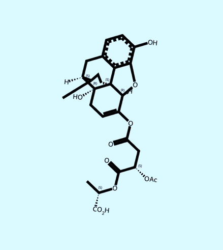 CC(=O)O[C@@H](CC(=O)OC1=CC[C@@]2(O)[C@H]3Cc4ccc(O)c5c4[C@@]2(CCC3C)[C@H]1O5)C(=O)O[C@@H](C)C(=O)O